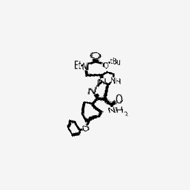 CCN(CC1CCNc2c(C(N)=O)c(-c3ccc(Oc4ccccc4)cc3)nn21)C(=O)OC(C)(C)C